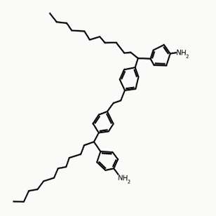 CCCCCCCCCCCC(c1ccc(N)cc1)c1ccc(CCc2ccc(C(CCCCCCCCCCC)c3ccc(N)cc3)cc2)cc1